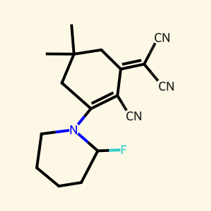 CC1(C)CC(=C(C#N)C#N)C(C#N)=C(N2CCCCC2F)C1